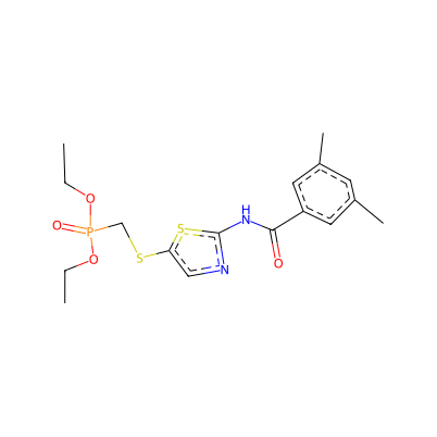 CCOP(=O)(CSc1cnc(NC(=O)c2cc(C)cc(C)c2)s1)OCC